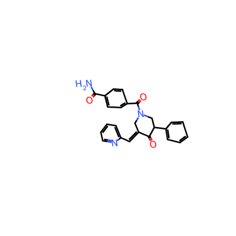 NC(=O)c1ccc(C(=O)N2CC(=Cc3ccccn3)C(=O)C(c3ccccc3)C2)cc1